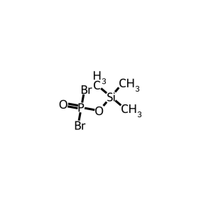 C[Si](C)(C)OP(=O)(Br)Br